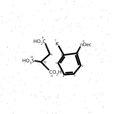 CCCCCCCCCCc1cccc[c]1[K].O=C(O)CC(C(=O)O)S(=O)(=O)O